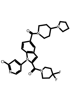 O=C(c1ccc2c(c1)cc(C(=O)N1CCC(F)(F)CC1)n2-c1ccnc(Cl)c1)N1CCC(N2CCCC2)CC1